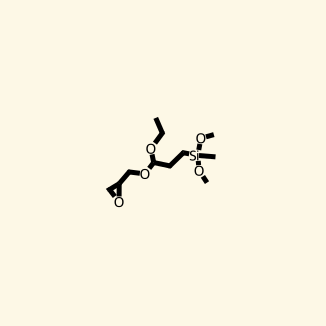 CCOC(CC[Si](C)(OC)OC)OCC1CO1